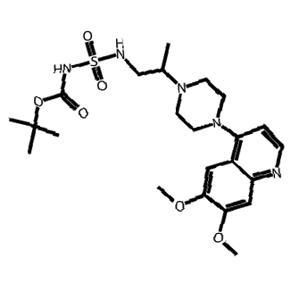 COc1cc2nccc(N3CCN(C(C)CNS(=O)(=O)NC(=O)OC(C)(C)C)CC3)c2cc1OC